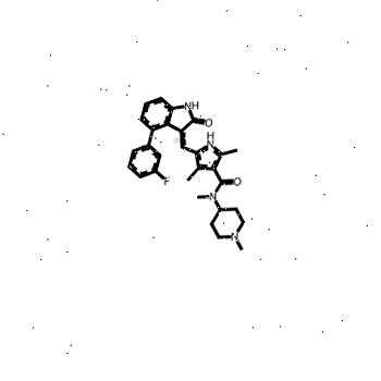 Cc1[nH]c(/C=C2\C(=O)Nc3cccc(-c4cccc(F)c4)c32)c(C)c1C(=O)N(C)C1CCN(C)CC1